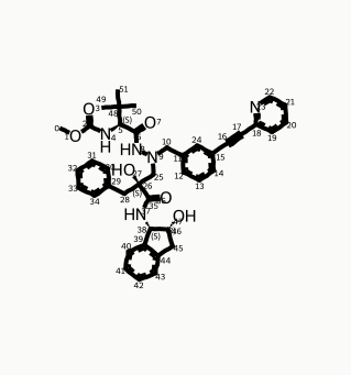 COC(=O)N[C@H](C(=O)NN(Cc1cccc(C#Cc2ccccn2)c1)C[C@@](O)(Cc1ccccc1)C(=O)N[C@H]1c2ccccc2C[C@H]1O)C(C)(C)C